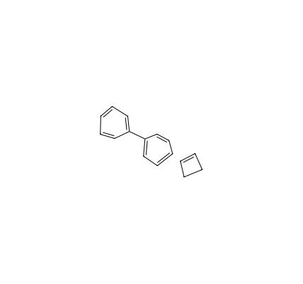 C1=CCC1.c1ccc(-c2ccccc2)cc1